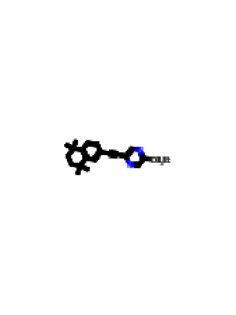 CCOC(=O)c1cnc(C#Cc2ccc3c(c2)C(C)(C)CCC3(C)C)cn1